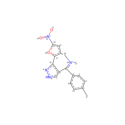 Cc1ccc(C(c2c[nH]nc2-c2ccc([N+](=O)[O-])o2)=[N+](C)C)cc1